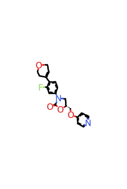 O=C1O[C@@H](COc2ccncc2)CN1c1ccc(C2=CCOCC2)c(F)c1